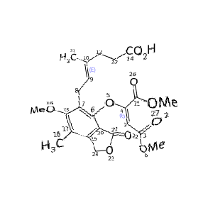 COC(=O)/C=C(/Oc1c(C/C=C(\C)CCC(=O)O)c(OC)c(C)c2c1C(=O)OC2)C(=O)OC